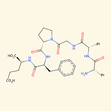 CC(C)[C@H](N)C(=O)N[C@H](C(=O)NCC(=O)N1CCC[C@H]1C(=O)N[C@@H](Cc1ccccc1)C(=O)N[C@@H](CCC(=O)O)C(=O)O)C(C)C